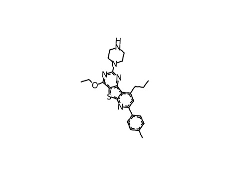 CCCc1cc(-c2ccc(C)cc2)nc2sc3c(OCC)nc(N4CCNCC4)nc3c12